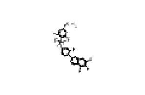 CCc1cc(F)c(C(F)(F)Oc2ccc(-c3ccc4c(F)c(F)c(F)cc4c3)c(F)c2)c(F)c1